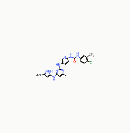 CC(=O)Oc1cc(Nc2cc(C)nc(Nc3ccc(NC(=O)Nc4ccc(Cl)c(C(F)(F)F)c4)nc3)n2)[nH]n1